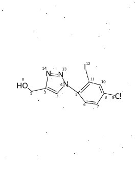 OCc1cn(-c2ccc(Cl)cc2I)nn1